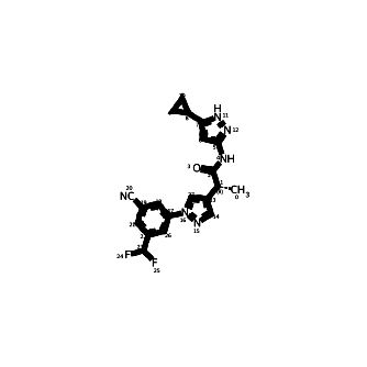 C[C@@H](C(=O)Nc1cc(C2CC2)[nH]n1)c1cnn(-c2cc(C#N)cc(C(F)F)c2)c1